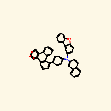 c1ccc(-c2ccccc2-c2c(-c3ccccc3)cccc2-c2ccc(N(c3ccc4ccccc4c3)c3ccc4oc5ccccc5c4c3)cc2)cc1